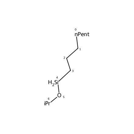 CCCCCCCC[SiH2]OC(C)C